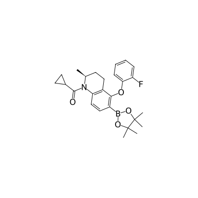 C[C@H]1CCc2c(ccc(B3OC(C)(C)C(C)(C)O3)c2Oc2ccccc2F)N1C(=O)C1CC1